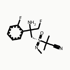 CN=[S@](=O)(CC(N)(CF)c1ccccc1F)C(C)(C)C#N